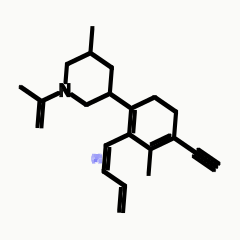 C#CC1=C(C)C(/C=C\C=C)=C(C2CC(C)CN(C(=C)C)C2)CC1